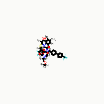 [2H]C1=C(SC([2H])([2H])c2cccc(F)c2F)N(CC(=O)N(C([2H])([2H])c2ccc(-c3ccc(C(F)(F)F)cc3)cc2)C2([2H])C([2H])([2H])C([2H])([2H])N(C([2H])([2H])COC([2H])([2H])[2H])C([2H])([2H])C2([2H])[2H])c2c([2H])c([2H])c(C)c([2H])c2C1O